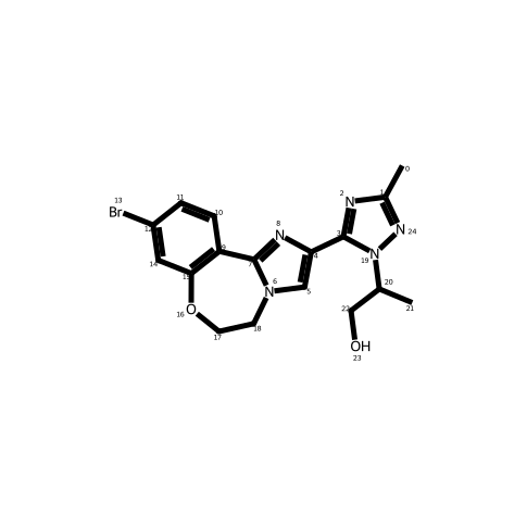 Cc1nc(-c2cn3c(n2)-c2ccc(Br)cc2OCC3)n(C(C)CO)n1